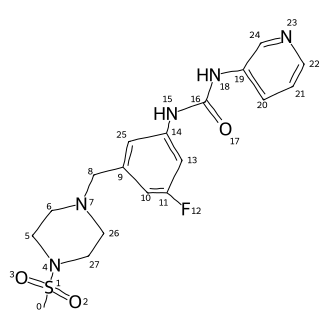 CS(=O)(=O)N1CCN(Cc2cc(F)cc(NC(=O)Nc3cccnc3)c2)CC1